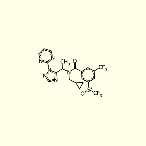 CC(c1ncnn1-c1ncccn1)N(CC1CC1)C(=O)c1cc([S+]([O-])C(F)(F)F)cc(C(F)(F)F)c1